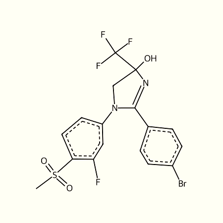 CS(=O)(=O)c1ccc(N2CC(O)(C(F)(F)F)N=C2c2ccc(Br)cc2)cc1F